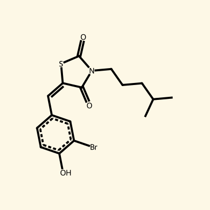 CC(C)CCCN1C(=O)SC(=Cc2ccc(O)c(Br)c2)C1=O